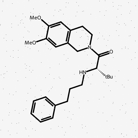 COc1cc2c(cc1OC)CN(C(=O)[C@@H](NCCCc1ccccc1)C(C)(C)C)CC2